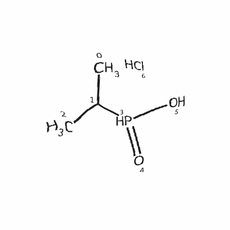 CC(C)[PH](=O)O.Cl